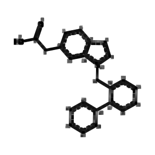 O=C(O)Cc1ccc2ccn(Cc3ccccc3-c3ccccc3)c2c1